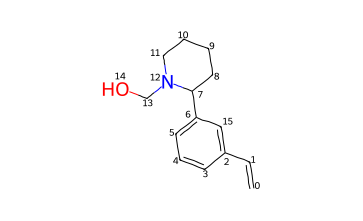 C=Cc1cccc(C2CCCCN2CO)c1